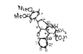 COc1ccc(C2CC(=O)C3=C(C2)NC(C)=C(C(=O)O)C3c2ccccc2)cc1OC